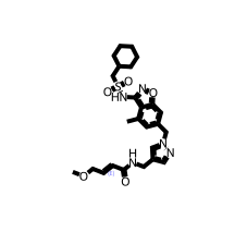 COC/C=C/C(=O)NCc1cnn(Cc2cc(C)c3c(NS(=O)(=O)CC4CCCCC4)noc3c2)c1